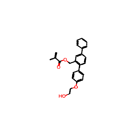 C=C(C)C(=O)OCc1cc(-c2ccccc2)ccc1-c1ccc(OCCO)cc1